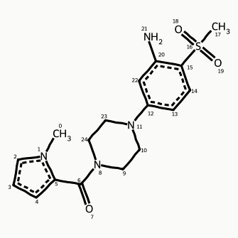 Cn1cccc1C(=O)N1CCN(c2ccc(S(C)(=O)=O)c(N)c2)CC1